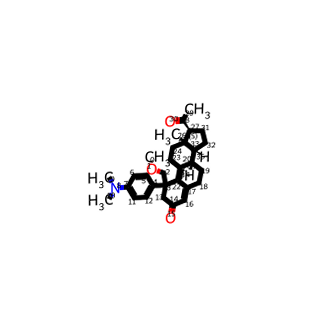 COCC1(c2ccc(N(C)C)cc2)CC(=O)C=C2CC[C@@H]3C(=C21)CC[C@]1(C)[C@@H](C(C)=O)CC[C@@H]31